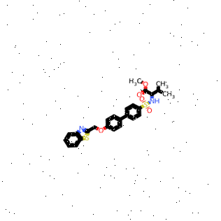 COC(=O)C(NS(=O)(=O)c1ccc(-c2ccc(OCc3nc4ccccc4s3)cc2)cc1)C(C)C